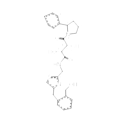 O=C(NCc1nc(Cc2ccccc2CO)cs1)[C@H](O)[C@@H](O)C(=O)N1CCCC1c1ccccc1